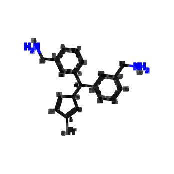 CC(C)C1=C[C](C(c2cccc(CN)c2)c2cccc(CN)c2)C=C1